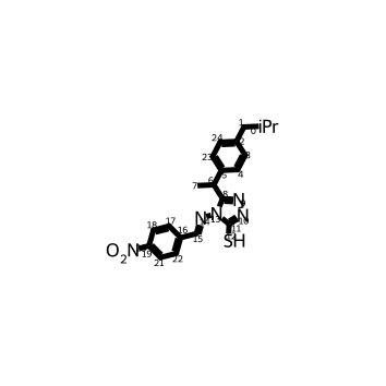 CC(C)Cc1ccc(C(C)c2nnc(S)n2N=Cc2ccc([N+](=O)[O-])cc2)cc1